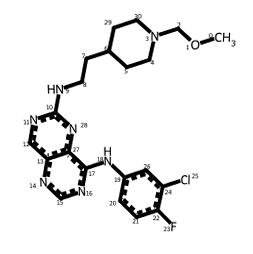 COCN1CCC(CCNc2ncc3ncnc(Nc4ccc(F)c(Cl)c4)c3n2)CC1